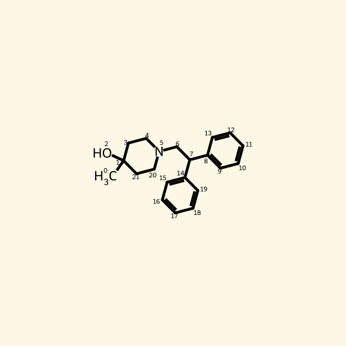 CC1(O)CCN(CC(c2ccccc2)c2ccccc2)CC1